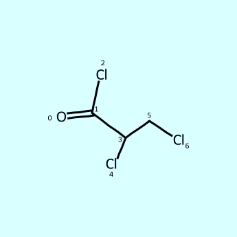 O=C(Cl)C(Cl)CCl